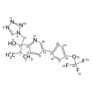 CC(C)C(O)(Cn1cnnn1)c1ccc(-c2ccc(OC(F)(F)F)cc2)cn1